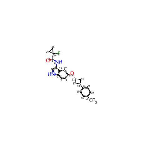 O=C(Nc1c[nH]c2ccc(O[C@H]3C[C@H](c4ccc(C(F)(F)F)cc4)C3)cc12)C1(F)CC1